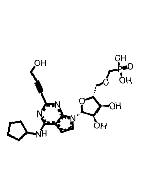 O=P(O)(O)COC[C@H]1O[C@@H](n2ccc3c(NC4CCCC4)nc(C#CCO)nc32)[C@H](O)[C@@H]1O